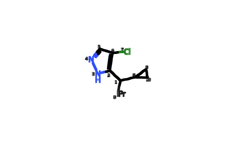 CC(C)C(c1[nH]n[c]c1Cl)C1CC1